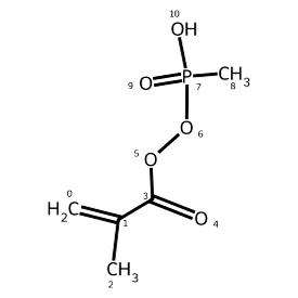 C=C(C)C(=O)OOP(C)(=O)O